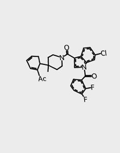 CC(=O)C1=CC=CCC1C1(C)CCN(C(=O)c2cn(C(=O)c3cccc(F)c3F)c3cc(Cl)ccc23)CC1